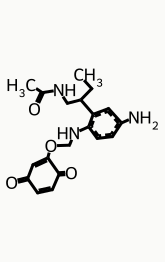 CCC(CNC(C)=O)c1cc(N)ccc1NCOC1=CC(=O)C=CC1=O